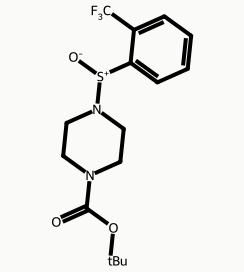 CC(C)(C)OC(=O)N1CCN([S+]([O-])c2ccccc2C(F)(F)F)CC1